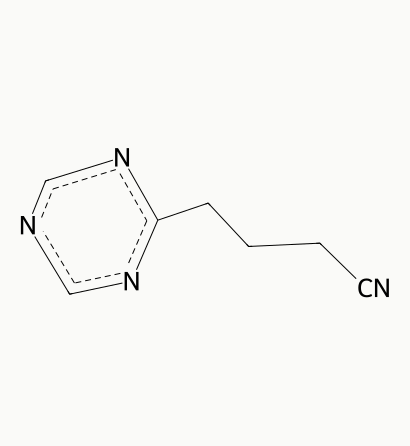 N#CCCCc1ncncn1